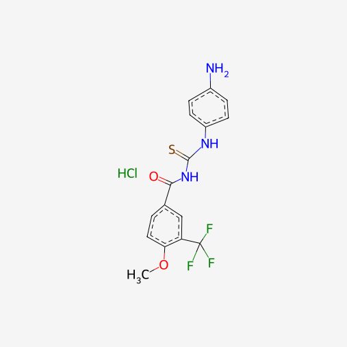 COc1ccc(C(=O)NC(=S)Nc2ccc(N)cc2)cc1C(F)(F)F.Cl